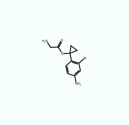 NCC(=O)OC1(c2ccc([N+](=O)[O-])cc2Br)CC1